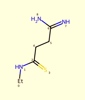 CCNC(=S)CCC(=N)N